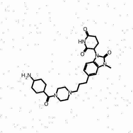 Cn1c(=O)n(C2CCC(=O)NC2=O)c2ccc(CCCN3CCN(C(=O)C4CCC(N)CC4)CC3)cc21